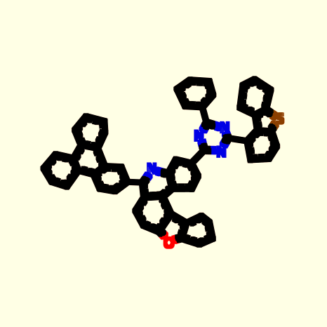 c1ccc(-c2nc(-c3ccc4c(c3)nc(-c3ccc5c6ccccc6c6ccccc6c5c3)c3ccc5oc6ccccc6c5c34)nc(-c3cccc4sc5ccccc5c34)n2)cc1